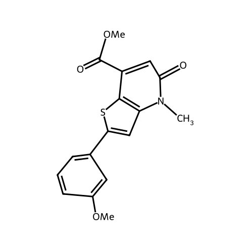 COC(=O)c1cc(=O)n(C)c2cc(-c3cccc(OC)c3)sc12